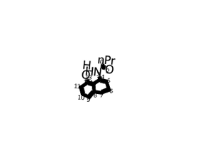 CCCC(=O)Nc1cccc2cccc(O)c12